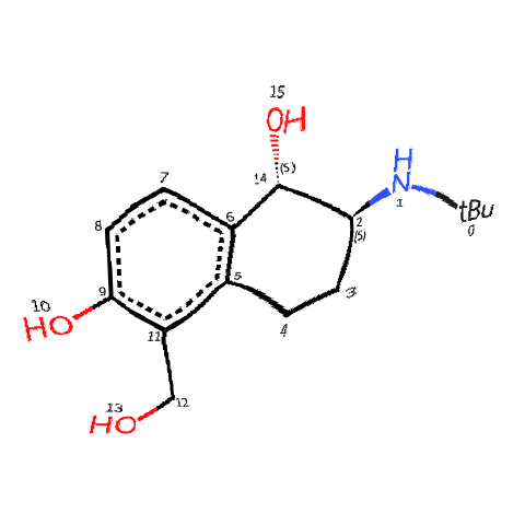 CC(C)(C)N[C@H]1CCc2c(ccc(O)c2CO)[C@@H]1O